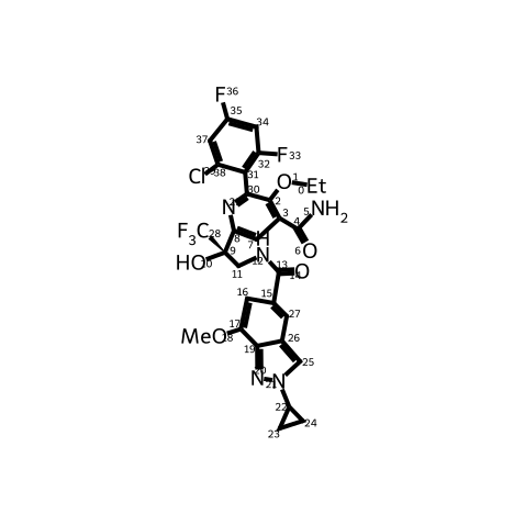 CCOc1c(C(N)=O)cc([C@@](O)(CNC(=O)c2cc(OC)c3nn(C4CC4)cc3c2)C(F)(F)F)nc1-c1c(F)cc(F)cc1Cl